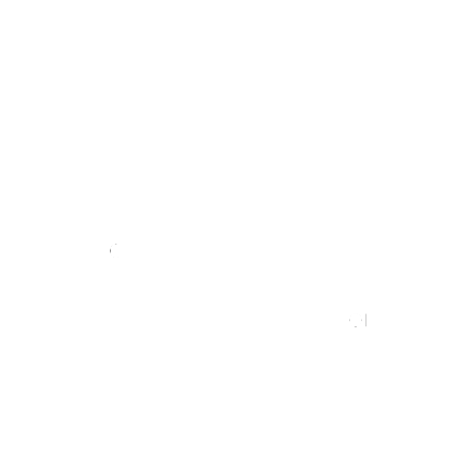 C=C[C]=C=Cc1ccc(O)cc1